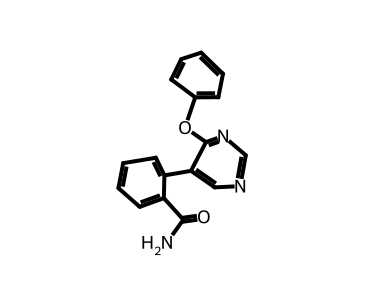 NC(=O)c1ccccc1-c1cncnc1Oc1ccccc1